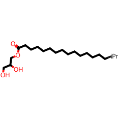 CC(C)CCCCCCCCCCCCCCC(=O)OCC(O)CO